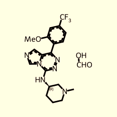 COc1cc(C(F)(F)F)ccc1-c1nnc(N[C@@H]2CCCN(C)C2)n2cncc12.O=CO